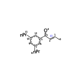 C/C=C/C(=O)c1cc(CCC)cc(CCC)c1